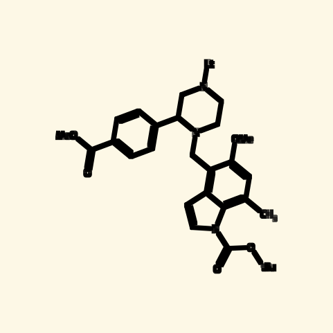 CCN1CCN(Cc2c(OC)cc(C)c3c2ccn3C(=O)OC(C)(C)C)C(c2ccc(C(=O)OC)cc2)C1